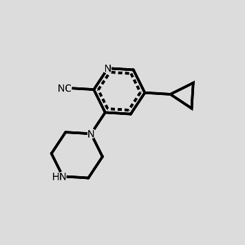 N#Cc1ncc(C2CC2)cc1N1CCNCC1